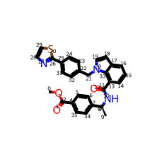 COC(=O)c1ccc([C@H](C)NC(=O)c2cccc3ccn(Cc4ccc(-c5nccs5)cc4)c23)cc1